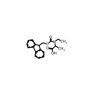 CCN(C(=O)OCC1c2ccccc2-c2ccccc21)C(C)C(=O)O